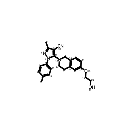 Cc1ccc(-n2nc(C)c(C#N)c2N2CCc3cc(OCCO)ccc3C2)cc1